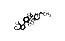 CCN1CCC(F)(S(=O)(=O)c2c(Cl)ccc([C]3CCC(C=O)=C3Cl)c2O)CC1